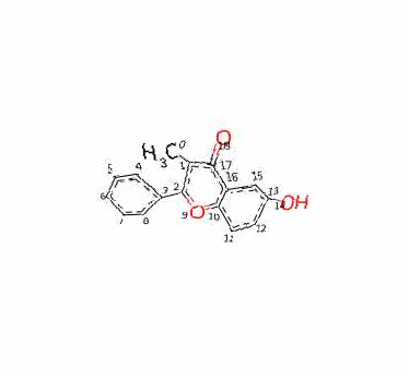 Cc1c(-c2ccccc2)oc2ccc(O)cc2c1=O